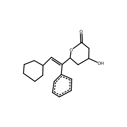 O=C1CC(O)CC(C(=CC2CCCCC2)c2ccccc2)O1